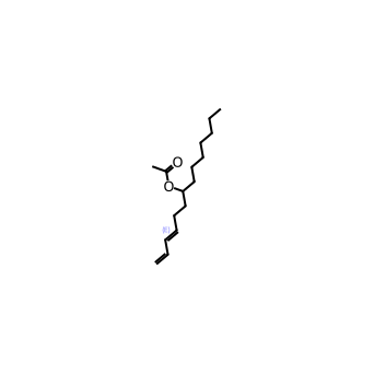 C=C/C=C/CCC(CCCCCCC)OC(C)=O